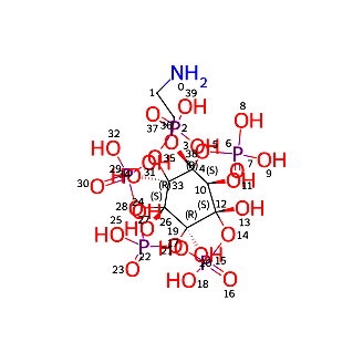 NCCO[C@@]1(OP(=O)(O)O)[C@@H](O)[C@](O)(OP(=O)(O)O)[C@@](O)(OP(=O)(O)O)[C@](O)(OP(=O)(O)O)[C@@]1(O)OP(=O)(O)O